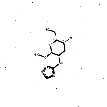 CO[C@H]1O[C@H](CO)[C@H](O)C[C@H]1Nc1ncns1